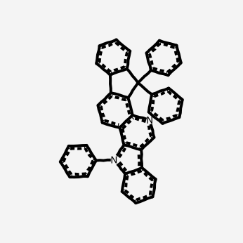 c1ccc(-n2c3ccccc3c3cnc4c5c(ccc4c32)-c2ccccc2C5(c2ccccc2)c2ccccc2)cc1